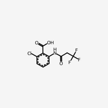 O=C(CC(F)(F)F)Nc1cccc(Cl)c1C(=O)O